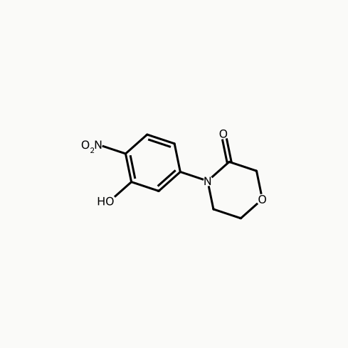 O=C1COCCN1c1ccc([N+](=O)[O-])c(O)c1